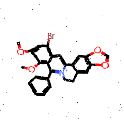 COc1cc(Br)c2cc3[n+](c(-c4ccccc4)c2c1OC)CCc1cc2c(cc1-3)OCO2